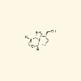 N[C@H]1[C@H]2CC[C@H](C2)[C@@]12CCC[C@H](CO)C2